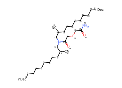 CCCCCCCCCCCCCCCCCCC(C#N)CN(CC(C#N)CCCCCCCCCCCCCCCCCC)C(=O)COCC(N)=O